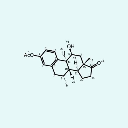 CC(=O)Oc1ccc2c(c1)C[C@@H](C)[C@@H]1[C@@H]2[C@@H](O)C[C@]2(C)C(=O)CC[C@@H]12